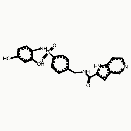 O=C(NCc1ccc(S(=O)(=O)Nc2ccc(O)cc2O)cc1)c1cc2cnccc2[nH]1